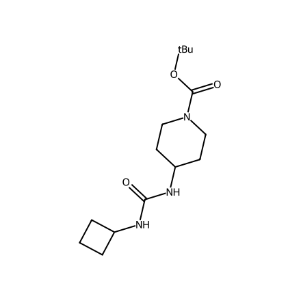 CC(C)(C)OC(=O)N1CCC(NC(=O)NC2CCC2)CC1